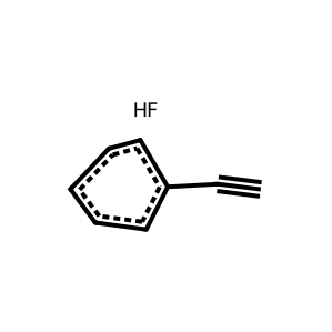 C#Cc1ccccc1.F